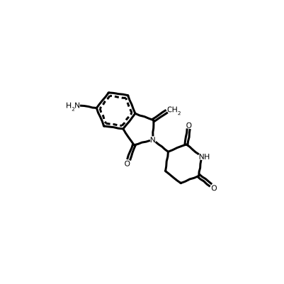 C=C1c2ccc(N)cc2C(=O)N1C1CCC(=O)NC1=O